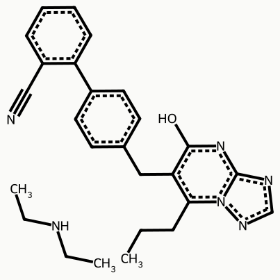 CCCc1c(Cc2ccc(-c3ccccc3C#N)cc2)c(O)nc2ncnn12.CCNCC